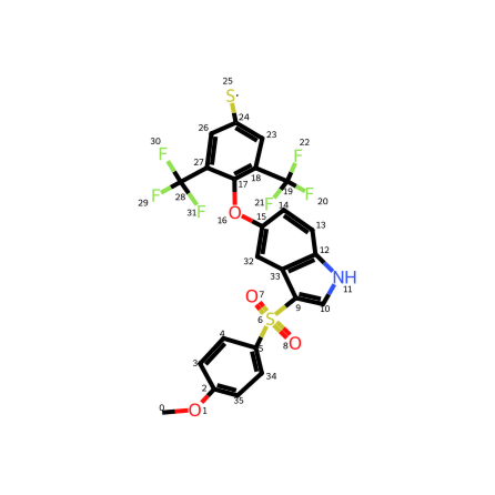 COc1ccc(S(=O)(=O)c2c[nH]c3ccc(Oc4c(C(F)(F)F)cc([S])cc4C(F)(F)F)cc23)cc1